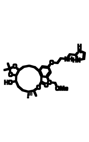 COCOc1cc(OCCNCC2NC=CN2)cc2c1C(=O)OC(C)[C@H](C)CCC(O)C1OC(C)(C)OC1CCC2